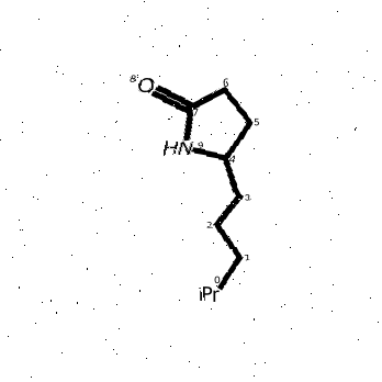 CC(C)CCCC1CCC(=O)N1